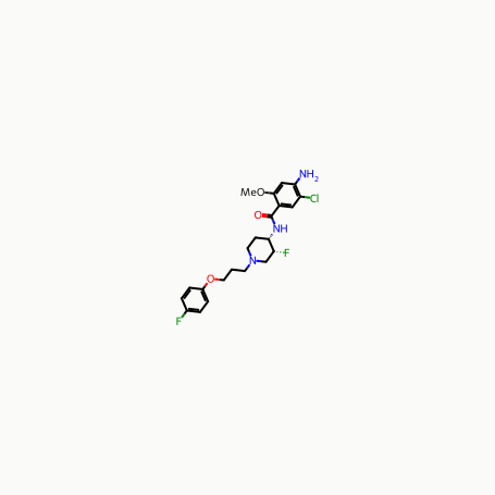 COc1cc(N)c(Cl)cc1C(=O)N[C@H]1CCN(CCCOc2ccc(F)cc2)C[C@H]1F